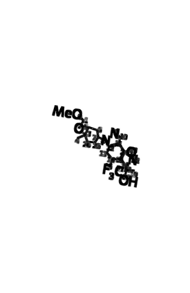 COCOC1(C)CCC(n2ncc3c2C[C@H](C)c2c([C@@](C)(O)C(F)(F)F)noc2-3)CC1